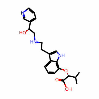 CC(C)[C@@H](Oc1cccc2c(CCNC[C@@H](O)c3cccnc3)c[nH]c12)C(=O)O